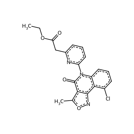 CCOC(=O)Cc1cccc(-n2c(=O)c3c(C)onc3c3c(Cl)cccc32)n1